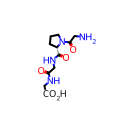 NCC(=O)N1CCC[C@H]1C(=O)NCC(=O)NCC(=O)O